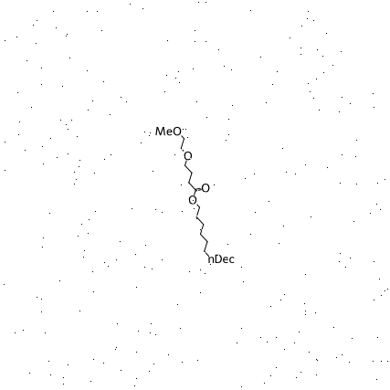 CCCCCCCCCCCCCCCCOC(=O)CCCOCCOC